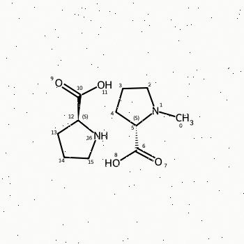 CN1CCC[C@H]1C(=O)O.O=C(O)[C@@H]1CCCN1